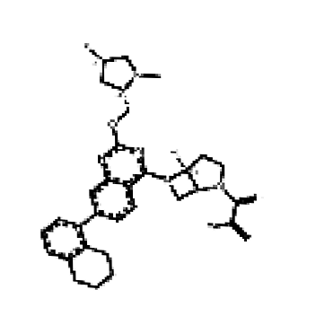 C=C(F)C(=O)N1CC[C@@H]2C1CN2c1nc(OC[C@@H]2C[C@@H](F)CN2C)nc2cc(-c3cccc4c3CCCC4)ccc12